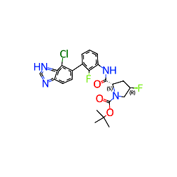 CC(C)(C)OC(=O)N1C[C@H](F)C[C@H]1C(=O)Nc1cccc(-c2ccc3nc[nH]c3c2Cl)c1F